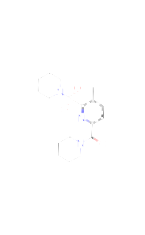 Cc1ccc(C(=O)N2CCCCC2)nc1S(=O)(=O)N1CCCCC1